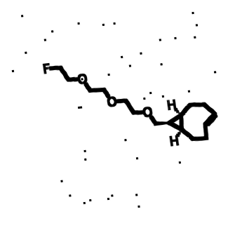 FCCOCCOCCOC[C@@H]1[C@@H]2CC/C=C/CC[C@@H]21